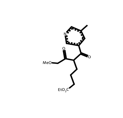 CCOC(=O)CCCC(C(=O)COC)C(=O)c1cncc(C)c1